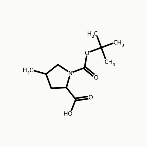 CC1CC(C(=O)O)N(C(=O)OC(C)(C)C)C1